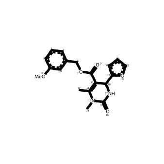 COc1cccc(COC(=O)C2=C(C)N(C)C(=O)NC2c2ccco2)c1